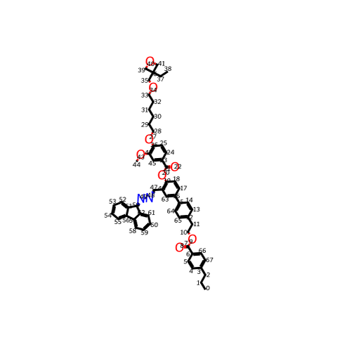 CCCc1ccc(C(=O)OCCc2ccc(-c3ccc(OC(=O)c4ccc(OCCCCCCOCC5(CC)COC5)c(OC)c4)c(/C=N/N=C4c5ccccc5-c5ccccc54)c3)cc2)cc1